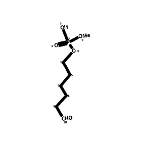 COP(=O)(O)OCCCCCC=O